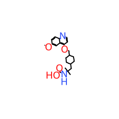 COc1ccc2nccc(OCC3CCC(CC(C)(C)NC(=O)O)CC3)c2c1